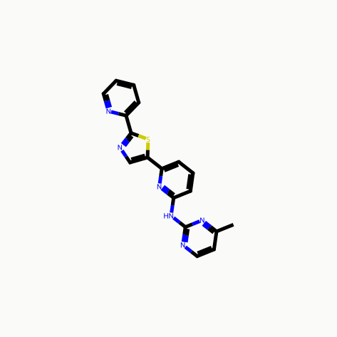 Cc1ccnc(Nc2cccc(-c3cnc(-c4ccccn4)s3)n2)n1